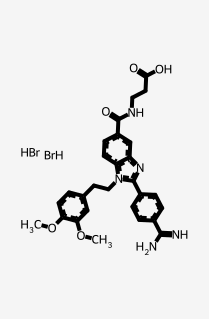 Br.Br.COc1ccc(CCn2c(-c3ccc(C(=N)N)cc3)nc3cc(C(=O)NCCC(=O)O)ccc32)cc1OC